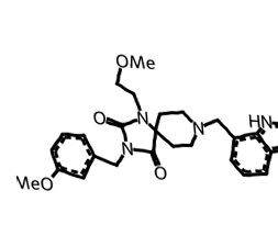 COCCN1C(=O)N(Cc2cccc(OC)c2)C(=O)C12CCN(Cc1cccc3cc[nH]c13)CC2